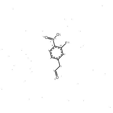 O=CCc1ccc([N+](=O)[O-])c(F)c1